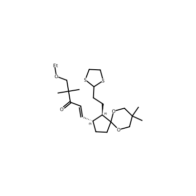 CCOCC(C)(C)C(=O)C=C[C@H]1CCC2(OCC(C)(C)CO2)[C@@H]1CCC1SCCS1